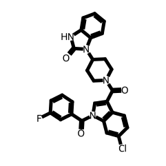 O=C(c1cn(C(=O)c2cccc(F)c2)c2cc(Cl)ccc12)N1CCC(n2c(=O)[nH]c3ccccc32)CC1